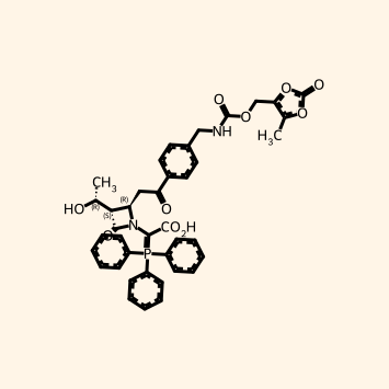 Cc1oc(=O)oc1COC(=O)NCc1ccc(C(=O)C[C@@H]2[C@@H]([C@@H](C)O)C(=O)N2C(C(=O)O)=P(c2ccccc2)(c2ccccc2)c2ccccc2)cc1